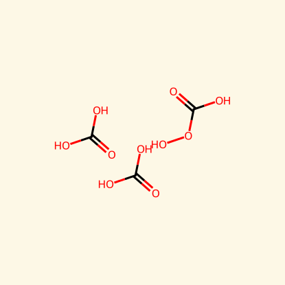 O=C(O)O.O=C(O)O.O=C(O)OO